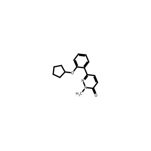 Cn1nc(-c2ccccc2OC2CCCC2)ccc1=O